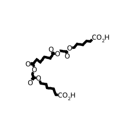 O=C(O)CCCCCOC(=O)COC(=O)CCCCC(=O)OCC(=O)OCCCCCC(=O)O